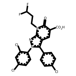 O=C(O)c1cc2c(-c3ccc(Cl)cc3)n(-c3ccc(Cl)cc3Cl)nc2n(CCC(F)F)c1=O